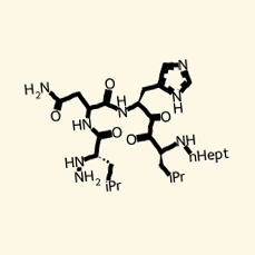 CCCCCCCN[C@@H](CC(C)C)C(=O)C(=O)[C@H](Cc1cnc[nH]1)NC(=O)C(CC(N)=O)NC(=O)[C@H](CC(C)C)NN